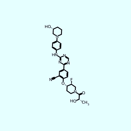 C[C@H](O)C(=O)N1CC[C@H](Oc2ccc(-c3ncnc(Nc4ccc(N5CCC[C@@H](O)C5)cc4)n3)cc2C#N)[C@@H](F)C1